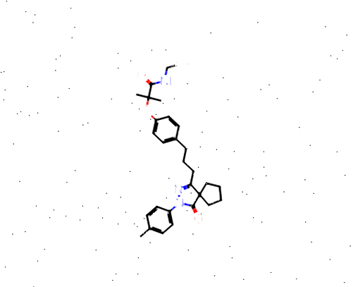 Cc1ccc(N2N=C(CCCc3ccc(OC(C)(C)C(=O)NCC(F)(F)F)cc3)C3(CCCC3)C2=O)cc1